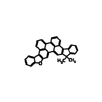 CC1(C)c2ccccc2-c2c1cc1c3cc4oc5ccccc5c4c4cccc(c5cccc2c51)c34